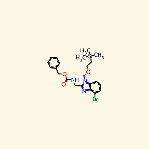 C[Si](C)(C)CCOCn1c(CNC(=O)OCc2ccccc2)nc2c(Br)cccc21